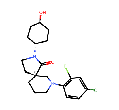 O=C1N([C@H]2CC[C@H](O)CC2)CC[C@@]12CCCN(c1ccc(Cl)cc1F)C2